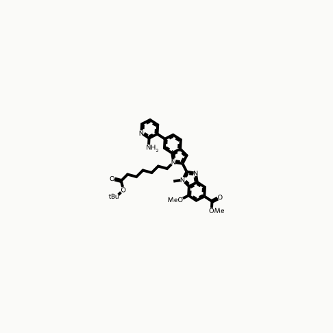 COC(=O)c1cc(OC)c2c(c1)nc(-c1cc3ccc(-c4cccnc4N)cc3n1CCCCCCC(=O)OC(C)(C)C)n2C